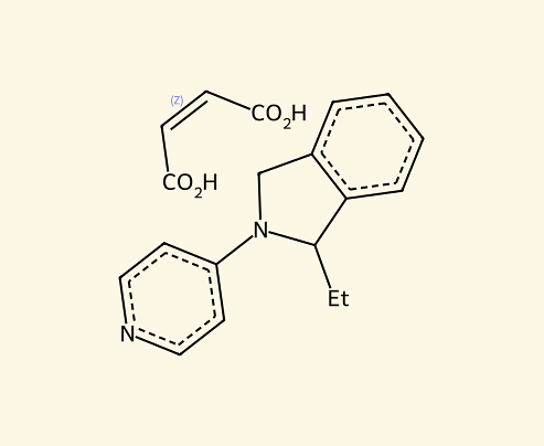 CCC1c2ccccc2CN1c1ccncc1.O=C(O)/C=C\C(=O)O